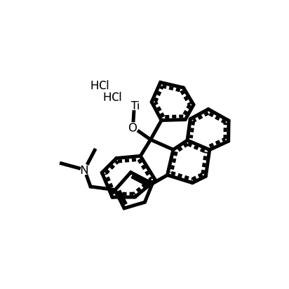 CN(C)CC1=CCC(c2ccc3ccccc3c2C([O][Ti])(c2ccccc2)c2ccccc2)=C1.Cl.Cl